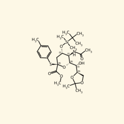 COC(=O)[C@]1(Sc2ccc(C)cc2)C[C@H](O[Si](C)(C)C(C)(C)C)[C@@H](NC(C)=O)[C@H]([C@H](O)[C@H]2COC(C)(C)O2)O1